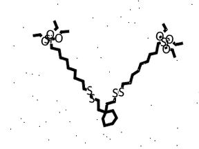 CCO[Si](CCCCCCCCCSSCCC1(CCSSCCCCCCCCC[Si](OCC)(OCC)OCC)CCCCC1)(OCC)OCC